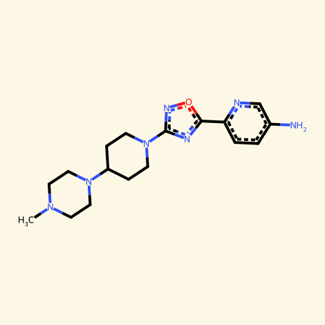 CN1CCN(C2CCN(c3noc(-c4ccc(N)cn4)n3)CC2)CC1